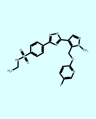 CCNS(=O)(=O)c1ccc(-c2noc(-c3cnn(C)c3COc3ccc(F)cn3)n2)cc1